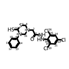 O=C(CN1CSC(S)N(c2ccccc2)C1)NNc1c(Cl)cc(Cl)cc1Cl